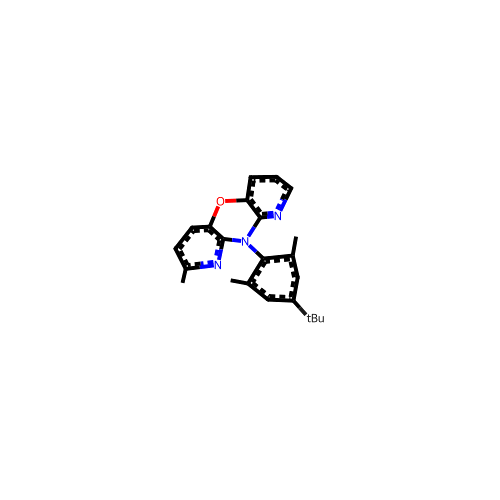 Cc1ccc2c(n1)N(c1c(C)cc(C(C)(C)C)cc1C)c1ncccc1O2